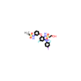 CCS(=O)(=O)Nc1cccc(Oc2cc(F)cc(Nc3ccc(I)cc3F)c2NS(=O)(=O)CCO)c1